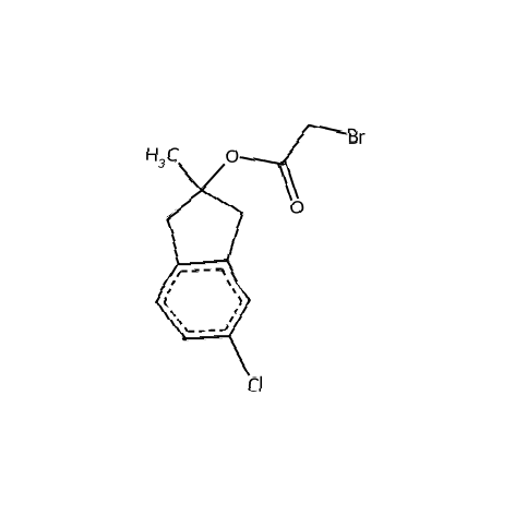 CC1(OC(=O)CBr)Cc2ccc(Cl)cc2C1